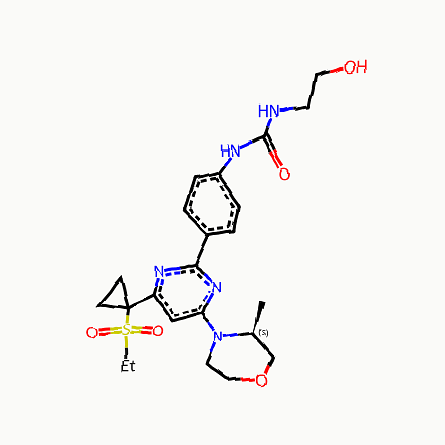 CCS(=O)(=O)C1(c2cc(N3CCOC[C@@H]3C)nc(-c3ccc(NC(=O)NCCO)cc3)n2)CC1